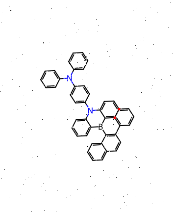 c1ccc(-c2ccc3ccccc3c2B2c3ccccc3N(c3ccc(N(c4ccccc4)c4ccccc4)cc3)c3ccccc32)cc1